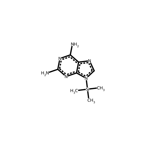 C[Si](C)(C)n1cnc2c(N)nc(N)nc21